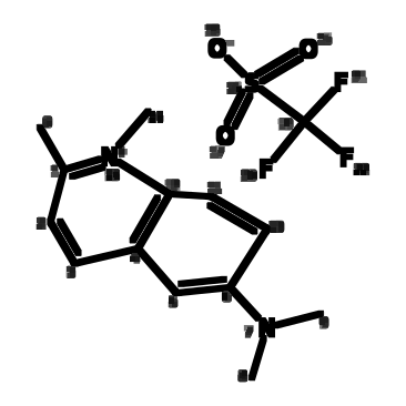 Cc1ccc2cc(N(C)C)ccc2[n+]1C.O=S(=O)([O-])C(F)(F)F